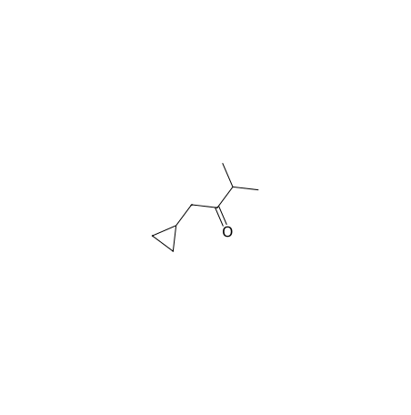 CC(C)C(=O)CC1CC1